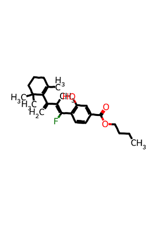 C=C(C1=C(C)CCCC1(C)C)/C(C)=C(\F)c1ccc(C(=O)OCCCC)cc1O